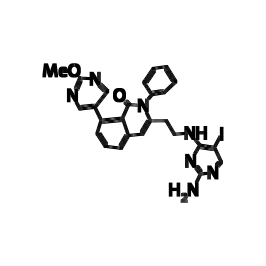 COc1ncc(-c2cccc3cc(CCNc4nc(N)ncc4I)n(-c4ccccc4)c(=O)c23)cn1